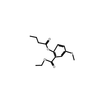 CCCC(=O)Oc1ccc(SC)cc1C(=O)OCC